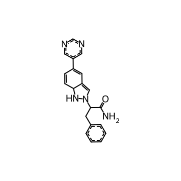 NC(=O)C(Cc1ccccc1)N1C=C2C=C(c3cncnc3)C=CC2N1